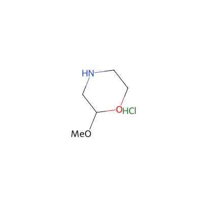 COC1CNCCO1.Cl